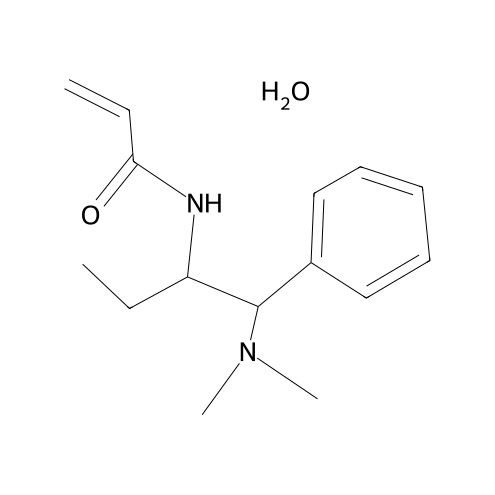 C=CC(=O)NC(CC)C(c1ccccc1)N(C)C.O